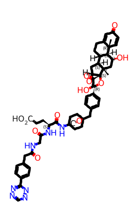 C[C@]12C=CC(=O)C=C1CC[C@@H]1[C@@H]2[C@@H](O)C[C@@]2(C)[C@H]1C[C@H]1O[C@@H](c3ccc(CC45CCC(NC(=O)[C@H](CCC(=O)O)NC(=O)CNC(=O)Cc6ccc(-c7nncnn7)cc6)(CC4)CO5)cc3)O[C@]12C(=O)CO